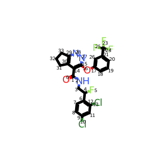 O=C(NCC(F)c1ccc(Cl)cc1Cl)c1c(Oc2cccc(C(F)(F)F)c2)nnc2c1CCC2